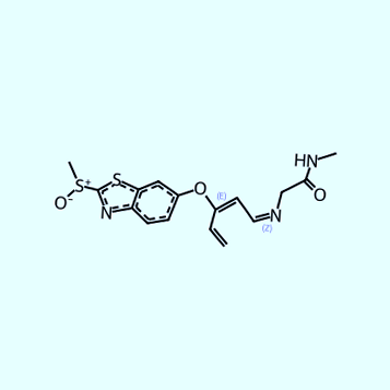 C=C/C(=C\C=N/CC(=O)NC)Oc1ccc2nc([S+](C)[O-])sc2c1